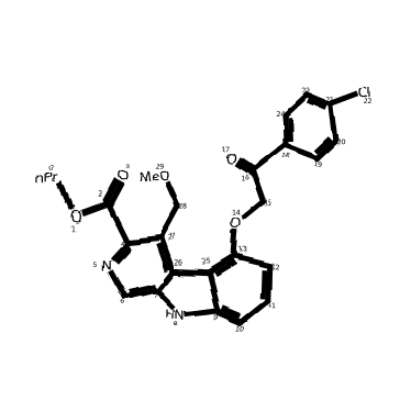 CCCOC(=O)c1ncc2[nH]c3cccc(OCC(=O)c4ccc(Cl)cc4)c3c2c1COC